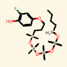 CCCC[SiH2]O[Si](C)(C)O[Si](C)(C)O[Si](C)(C)O[Si](C)(C)CCCOc1ccc(O)c(F)c1